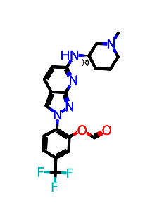 CN1CCC[C@@H](Nc2ccc3cn(-c4ccc(C(F)(F)F)cc4OC=O)nc3n2)C1